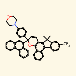 CC1(C)c2cc(C(F)(F)F)ccc2-c2c1c1c(c3ccccc23)OC(c2ccc(N3CCOCC3)cc2)(c2cc3ccccc3c3ccccc23)C=C1